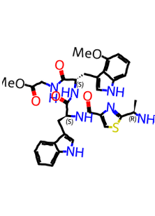 COC(=O)CNC(=O)[C@H](Cc1c[nH]c2cccc(OC)c12)NC(=O)[C@H](Cc1c[nH]c2ccccc12)NC(=O)c1csc([C@@H](C)N)n1